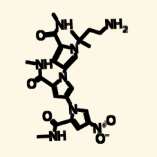 CNC(=O)c1cc(-n2cc([N+](=O)[O-])cc2C(=O)NC)cn1-c1cc(C(=O)NC)n(C(C)(C)CCN)c1